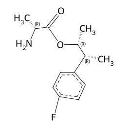 C[C@H](c1ccc(F)cc1)[C@@H](C)OC(=O)[C@@H](C)N